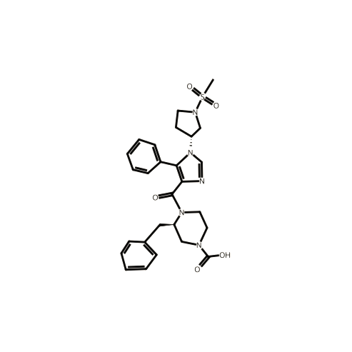 CS(=O)(=O)N1CC[C@@H](n2cnc(C(=O)N3CCN(C(=O)O)C[C@H]3Cc3ccccc3)c2-c2ccccc2)C1